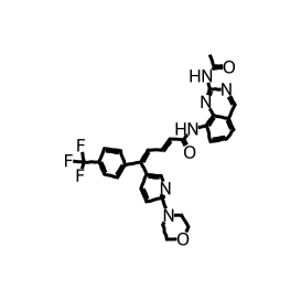 CC(=O)Nc1ncc2cccc(NC(=O)/C=C/C=C(/c3ccc(C(F)(F)F)cc3)c3ccc(N4CCOCC4)nc3)c2n1